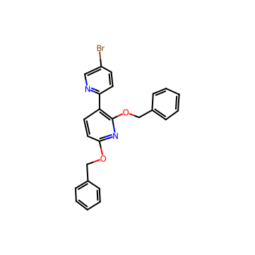 Brc1ccc(-c2ccc(OCc3ccccc3)nc2OCc2ccccc2)nc1